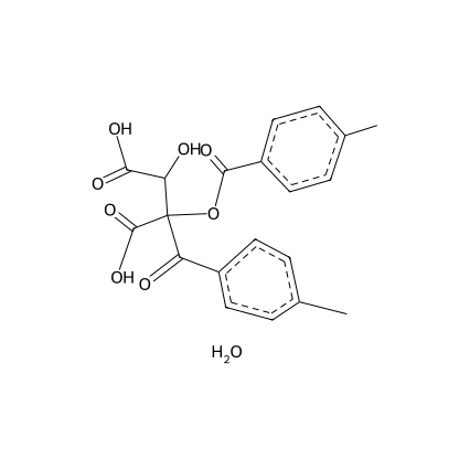 Cc1ccc(C(=O)OC(C(=O)O)(C(=O)c2ccc(C)cc2)C(O)C(=O)O)cc1.O